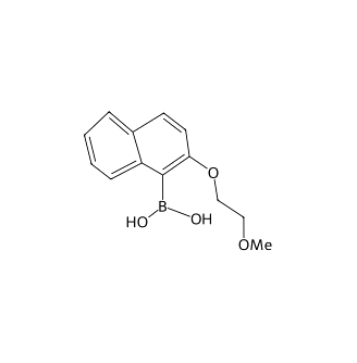 COCCOc1ccc2ccccc2c1B(O)O